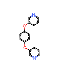 c1cncc(Oc2ccc(Oc3cccnc3)cc2)c1